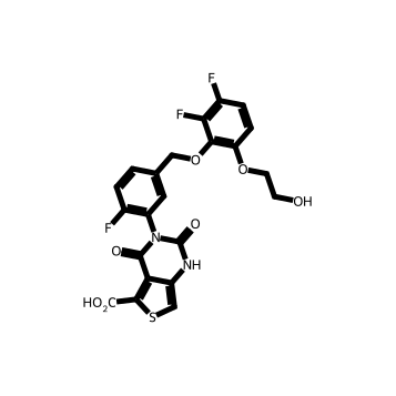 O=C(O)c1scc2[nH]c(=O)n(-c3cc(COc4c(OCCO)ccc(F)c4F)ccc3F)c(=O)c12